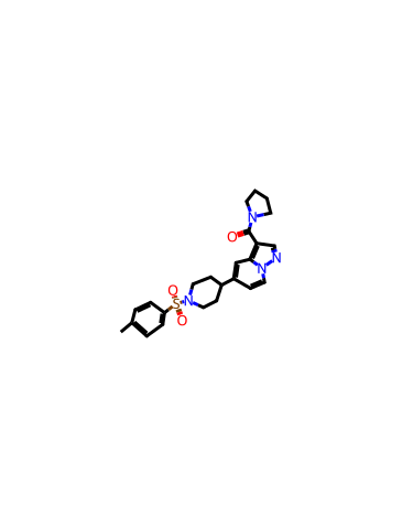 Cc1ccc(S(=O)(=O)N2CCC(c3ccn4ncc(C(=O)N5CCCC5)c4c3)CC2)cc1